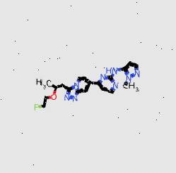 CC(Cc1nnc2cc(-c3ccnc(Nc4ccnn4C)n3)ccn12)OCCF